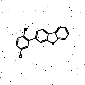 Clc1ccc(Br)c(-c2ccc3c(c2)sc2ccccc23)c1